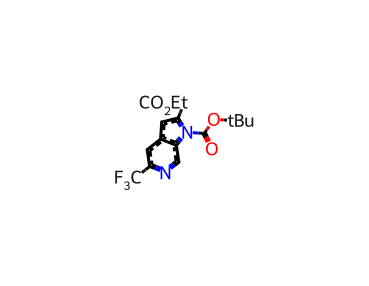 CCOC(=O)c1cc2cc(C(F)(F)F)ncc2n1C(=O)OC(C)(C)C